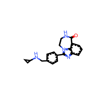 O=C1NCCn2c(-c3ccc(CNC4CC4)cc3)nc3cccc1c32